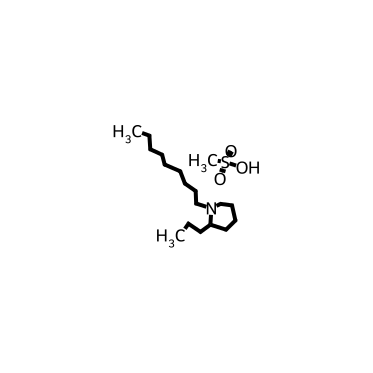 CCCCCCCCCN1CCCCC1CCC.CS(=O)(=O)O